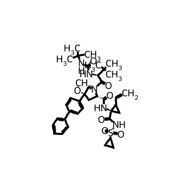 C=CC1C[C@]1(NC(=O)[C@@H]1C[C@@](OC)(c2ccc(-c3ccccc3)cc2)CN1C(=O)[C@@H](NC(=O)NC(C)(C)C)C(C)(C)C)C(=O)NS(=O)(=O)C1CC1